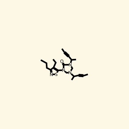 CC#CC(C)N1CN(c2snc(CCC)c2CC)C(=O)N(C(C)C#CC)C1